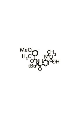 COc1cccc(C(=O)NN(C(=O)c2ccc3c(c2)N=C(C)OB3O)C(C)(C)C)c1C